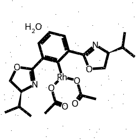 CC(=O)[O][Rh]([O]C(C)=O)[c]1c(C2=N[C@@H](C(C)C)CO2)cccc1C1=N[C@@H](C(C)C)CO1.O